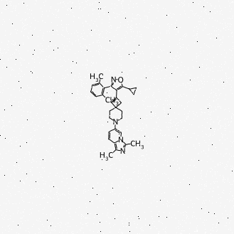 Cc1cccc(C)c1-c1noc(C2CC2)c1C1=CC2(CCN(c3ccc4c(C)nc(C)n4c3)CC2)C1